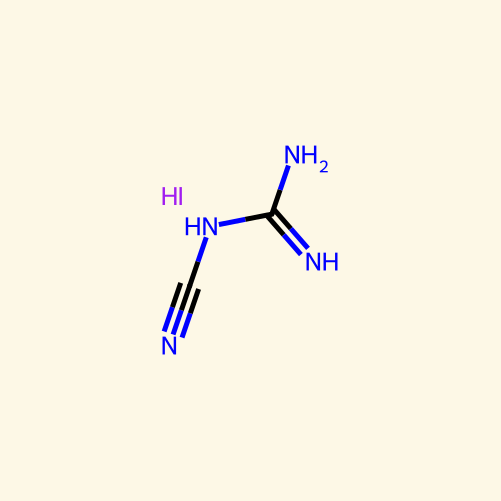 I.N#CNC(=N)N